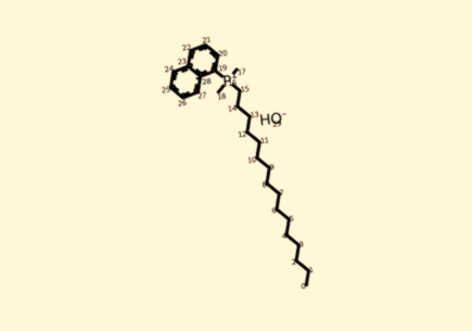 CCCCCCCCCCCCCCCC[P+](C)(C)c1cccc2ccccc12.[OH-]